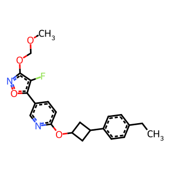 CCc1ccc(C2CC(Oc3ccc(-c4onc(OCOC)c4F)cn3)C2)cc1